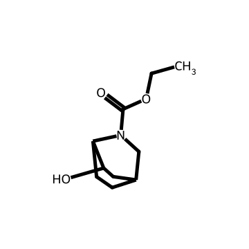 CCOC(=O)N1CC2CCC1C(O)C2